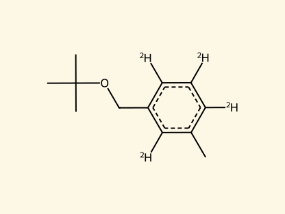 [2H]c1c([2H])c(C)c([2H])c(COC(C)(C)C)c1[2H]